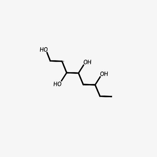 CCC(O)CC(O)C(O)[CH]CO